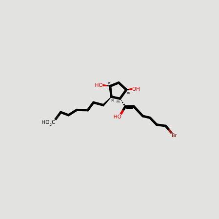 O=C(O)CCCCCC[C@@H]1[C@@H](C(O)=CCCCCBr)[C@H](O)C[C@@H]1O